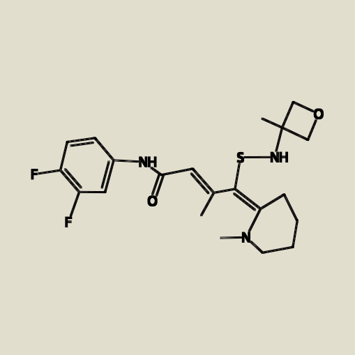 CC(=C\C(=O)Nc1ccc(F)c(F)c1)/C(SNC1(C)COC1)=C1/CCCCN1C